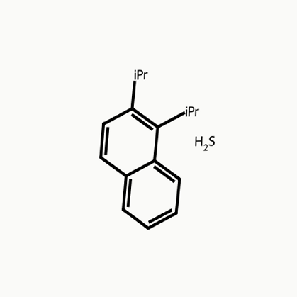 CC(C)c1ccc2ccccc2c1C(C)C.S